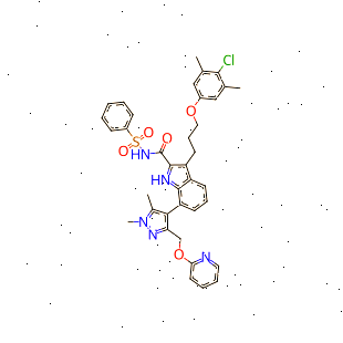 Cc1cc(OCCCc2c(C(=O)NS(=O)(=O)c3ccccc3)[nH]c3c(-c4c(COc5ccccn5)nn(C)c4C)cccc23)cc(C)c1Cl